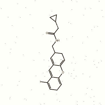 O=C(CC1CC1)NCC1C=C2C=C3C(I)=CCC=C3OC2=CC1